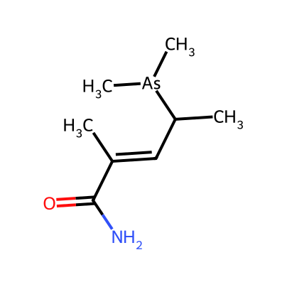 CC(=CC(C)[As](C)C)C(N)=O